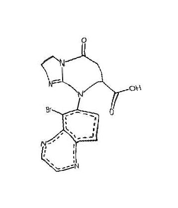 O=C(O)C1CC(=O)N2CCN=C2N1c1ccc2nccnc2c1Br